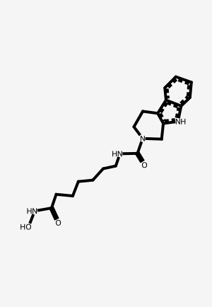 O=C(CCCCCCNC(=O)N1CCc2c([nH]c3ccccc23)C1)NO